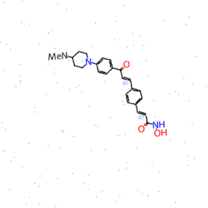 CNC1CCN(c2ccc(C(=O)/C=C/c3ccc(/C=C/C(=O)NO)cc3)cc2)CC1